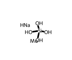 O[Si](O)(O)O.[Mo].[NaH]